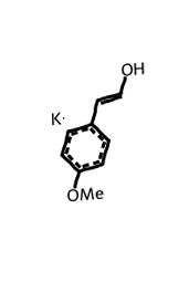 COc1ccc(C=CO)cc1.[K]